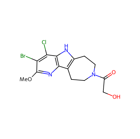 COc1nc2c3c([nH]c2c(Cl)c1Br)CCN(C(=O)CO)CC3